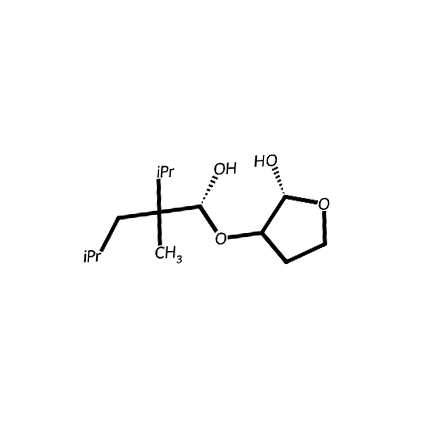 CC(C)CC(C)(C(C)C)[C@H](O)OC1CCO[C@H]1O